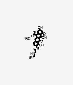 CC(C)CNCC(=O)Nc1ccc2c(c1O)C(=O)C1=C(O)C3(O)C(=O)CC(O)CC3C(C(N)=O)C1C2.Cl.Cl